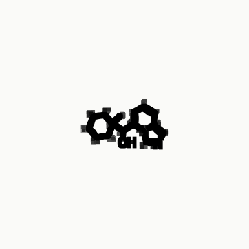 CC1(C(O)c2cccc3cncn23)CCCCC1